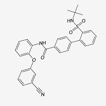 CC(C)(C)NS(=O)(=O)c1ccccc1-c1ccc(C(=O)Nc2ccccc2Oc2cccc(C#N)c2)cc1